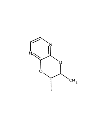 CC1Oc2nccnc2OC1I